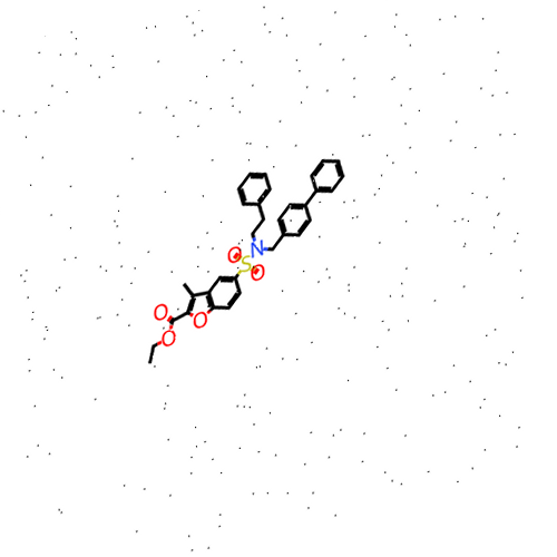 CCOC(=O)c1oc2ccc(S(=O)(=O)N(CCc3ccccc3)Cc3ccc(-c4ccccc4)cc3)cc2c1C